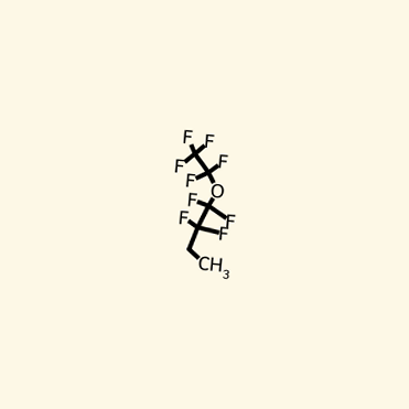 CCC(F)(F)C(F)(F)OC(F)(F)C(F)(F)F